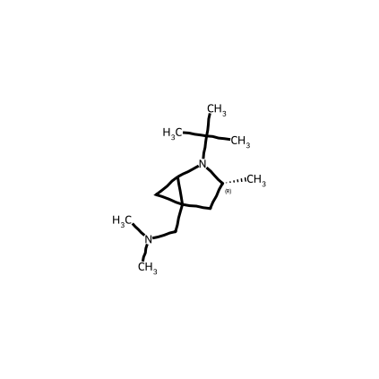 C[C@@H]1CC2(CN(C)C)CC2N1C(C)(C)C